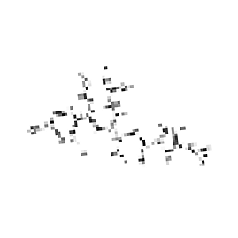 Cc1nc2c(-c3ccc(Cl)cc3F)cc([C@H]3CCO[C@@H](c4nnc(C5CC5)o4)C3)nn2c(=O)c1C